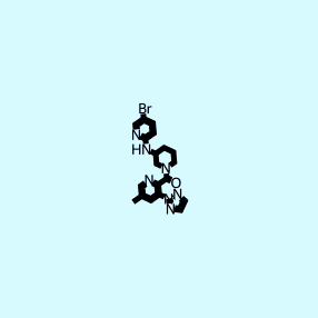 Cc1cnc(C(=O)N2CCCC(Nc3ccc(Br)cn3)C2)c(-n2nccn2)c1